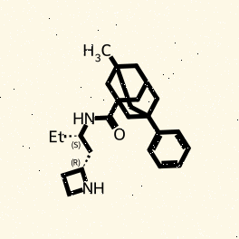 CC[C@@H](C[C@H]1CCN1)NC(=O)C12CC3CC(C)(C1)CC(c1ccccc1)(C3)C2